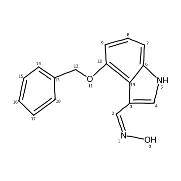 O/N=C\c1c[nH]c2cccc(OCc3ccccc3)c12